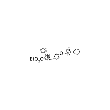 CCOC(=O)c1cn(Cc2ccc(OCc3csc(-c4ccccc4)n3)cc2)nc1-c1cccs1